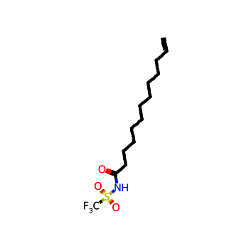 C=CCCCCCCCCCCC(=O)NS(=O)(=O)C(F)(F)F